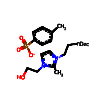 CCCCCCCCCCCC[n+]1ccn(CCO)c1C.Cc1ccc(S(=O)(=O)[O-])cc1